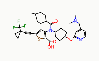 CC1CCC(C(=O)N(c2cc(C#CC3(C(F)(F)F)CC3)sc2C(=O)O)C2CCC(Oc3cc(CN(C)C)ccn3)CC2)CC1